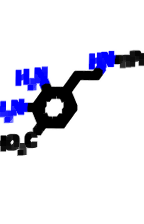 CCCNCCc1ccc(C(=O)O)c(N)c1N